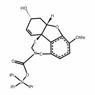 COc1ccc2c3c1O[C@H]1C[C@@H](O)C=C[C@@]31CCN(C(=O)O[Si](C(C)C)(C(C)C)C(C)C)C2